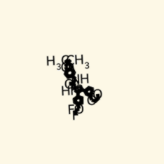 CC1(C)Cc2cc(NC(=O)N3CC(c4ccc5c(c4)OCCO5)=C(c4ccc(OC(F)F)cc4)N3)ccc2O1